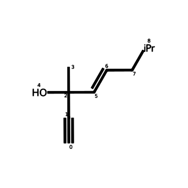 C#CC(C)(O)C=CCC(C)C